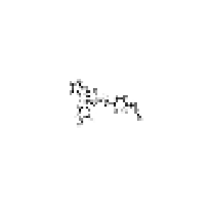 Cc1ccc(C2(Cn3ccnc3)OCC(COc3ccc(N=C=S)cc3)O2)cc1